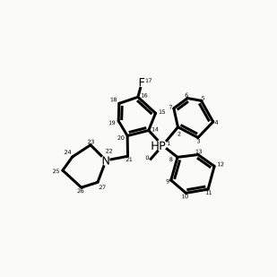 C[PH](c1ccccc1)(c1ccccc1)c1cc(F)ccc1CN1CCCCC1